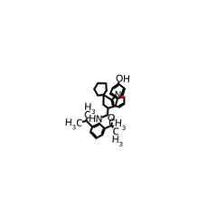 CC(C)c1cccc(C(C)C)c1NC(=O)C(Cc1ccc(O)cc1)CC1(c2ccccn2)CCCCC1